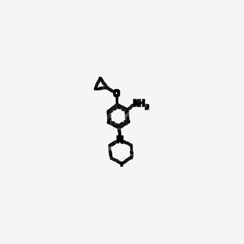 Nc1cc(N2CC[CH]CC2)ccc1OC1CC1